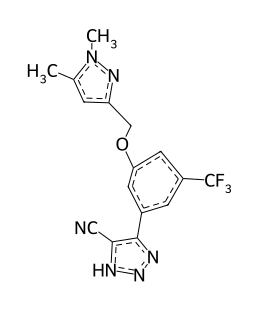 Cc1cc(COc2cc(-c3nn[nH]c3C#N)cc(C(F)(F)F)c2)nn1C